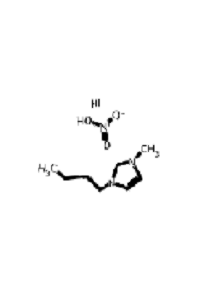 CCCCN1C=CN(C)C1.I.O=[N+]([O-])O